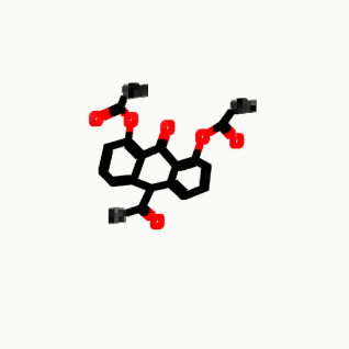 CCC(=O)C1c2cccc(OC(=O)C(C)(C)C)c2C(=O)c2c(OC(=O)C(C)(C)C)cccc21